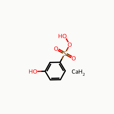 O=S(=O)(OO)c1cccc(O)c1.[CaH2]